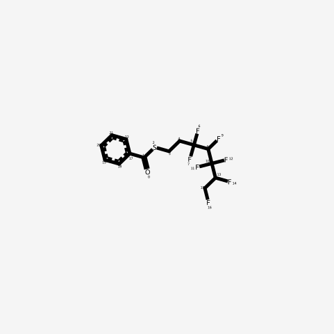 O=C(SCCC(F)(F)C(F)C(F)(F)C(F)CF)c1ccccc1